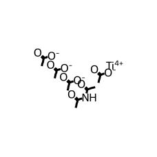 CC(=O)NC(C)=O.CC(=O)[O-].CC(=O)[O-].CC(=O)[O-].CC(=O)[O-].[Ti+4]